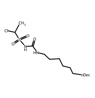 CCCCCCCCCCCCCCCCNC(=O)NS(=O)(=O)C(C)Cl